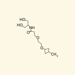 CC1CC(OCCOCCC(=O)NC(CO)CO)C1